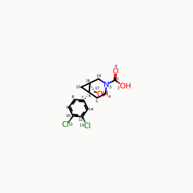 O=C(O)N1CC[C@@]2(c3ccc(Cl)c(Cl)c3)C[C@@]2(CO)C1